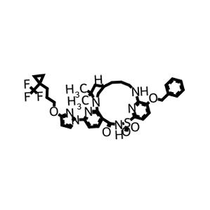 CC1(C)C[C@@H]2CCCNc3nc(ccc3OCc3ccccc3)S(=O)(=O)NC(=O)c3ccc(-n4ccc(OCCCC5(C(F)(F)F)CC5)n4)nc3N1C2